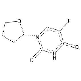 O=c1[nH]c(=O)n([C@@H]2CCCO2)cc1F